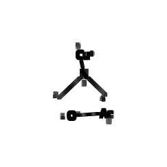 CC(=O)[O-].C[N](C)[Cu+]